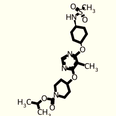 Cc1c(OC2CCN(C(=O)OC(C)C)CC2)ncnc1O[C@H]1CC[C@H](NS(C)(=O)=O)CC1